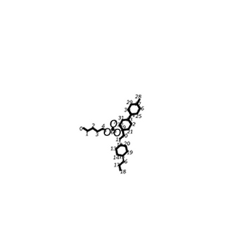 CCCCCOC(=O)OC1(CC[C@H]2CC[C@H](CCC)CC2)CCC(C2CCC(C)CC2)CC1